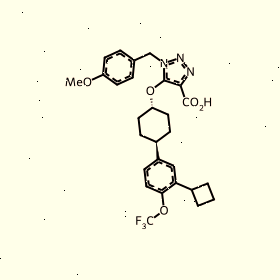 COc1ccc(Cn2nnc(C(=O)O)c2O[C@H]2CC[C@H](c3ccc(OC(F)(F)F)c(C4CCC4)c3)CC2)cc1